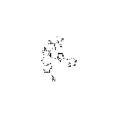 N#Cc1ccc(Cc2cnc(OC(=O)C(F)(F)F)n2Cc2ccc(-c3cccs3)s2)cc1